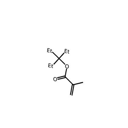 C=C(C)C(=O)OC(CC)(CC)CC